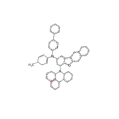 CC1C=CC(N(c2ccc(-c3ccccc3)cc2)c2cc(N(c3ccccc3)c3ccccc3-c3ccccc3)c3oc4cc5ccccc5cc4c3c2)=CC1